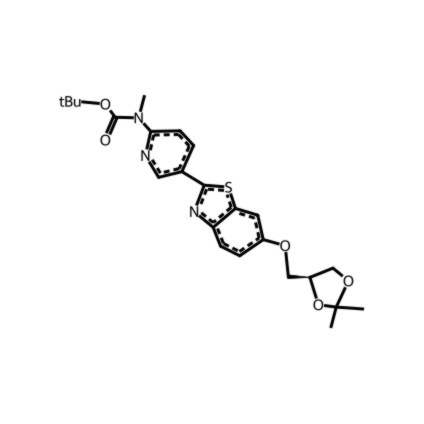 CN(C(=O)OC(C)(C)C)c1ccc(-c2nc3ccc(OC[C@H]4COC(C)(C)O4)cc3s2)cn1